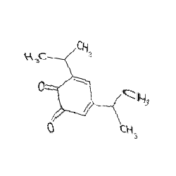 CC(C)C1=CC(=O)C(=O)C(C(C)C)=C1